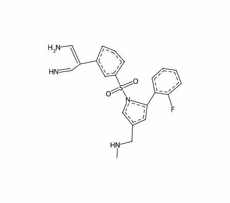 CNCc1cc(-c2ccccc2F)n(S(=O)(=O)c2cccc(/C(C=N)=C/N)c2)c1